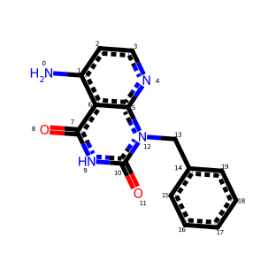 Nc1ccnc2c1c(=O)[nH]c(=O)n2Cc1ccccc1